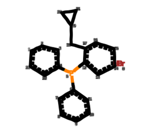 Br.c1ccc(P(c2ccccc2)c2ccccc2CC2CC2)cc1